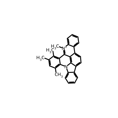 Cc1cc(C)c2c(c1C)c1c3c(ccc4c5ccccc5n2c43)c2ccccc2[n+]1C